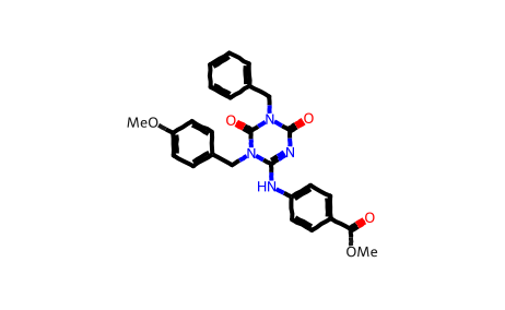 COC(=O)c1ccc(Nc2nc(=O)n(Cc3ccccc3)c(=O)n2Cc2ccc(OC)cc2)cc1